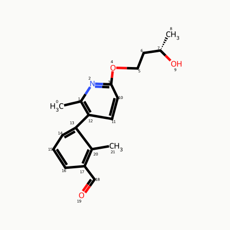 Cc1nc(OCC[C@H](C)O)ccc1-c1cccc(C=O)c1C